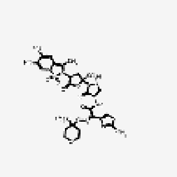 CC1=C2C=C(O)C(O)=CN2S(=O)(=O)N1C1CC(C(=O)O)(N2OC[C@H](NC(=O)/C(=N\OC3(C(=O)O)CCOCC3)c3csc(N)n3)C2=O)OC1=O